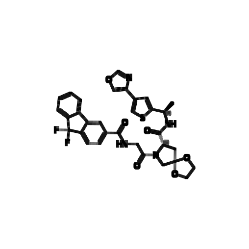 C[C@@H](NC(=O)[C@@H]1CC2(CN1C(=O)CNC(=O)c1ccc3c(c1)-c1ccccc1C3(F)F)OCCO2)c1cc(-c2cocn2)cs1